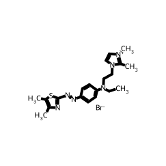 CCN(CCn1cc[n+](C)c1C)c1ccc(N=Nc2nc(C)c(C)s2)cc1.[Br-]